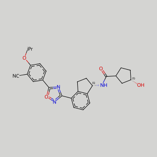 CC(C)Oc1ccc(-c2nc(-c3cccc4c3CC[C@@H]4NC(=O)C3CC[C@H](O)C3)no2)cc1C#N